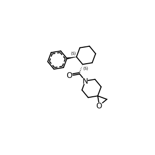 O=C([C@H]1CCCC[C@@H]1c1ccccc1)N1CCC2(CC1)CO2